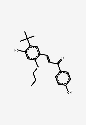 CCCOc1cc(O)c(C(C)(C)C)cc1C=CC(=O)c1ccc(O)cc1